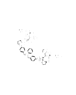 COC(=O)N[C@H](C(=O)N1CCC[C@H]1C(=O)Nc1ccc(CN(Cc2ccc(N3CCC[C@H]3C(=O)NC(=O)[C@@H](NC(=O)OC)C(C)(C)C)cc2)c2ccccc2)cc1)[C@H]1CCOC1